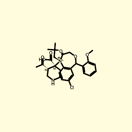 COc1ccccc1C1OCC(=O)[N@@+](CC(C)(C)C)([C@@]2(C(=O)O)CCNC[C@@H]2C(C)=O)c2ccc(Cl)cc21